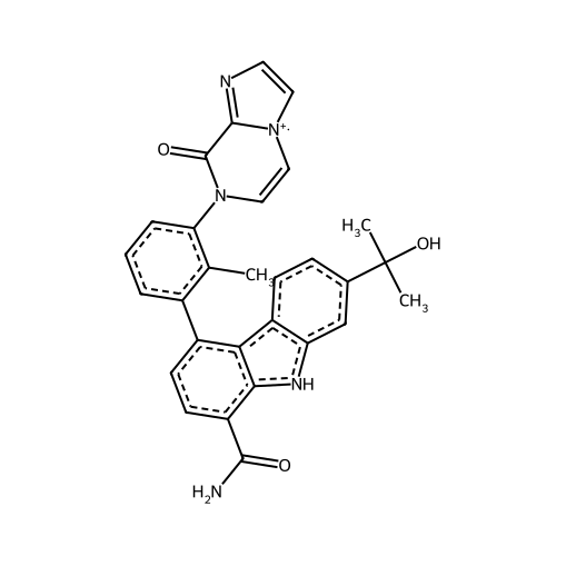 Cc1c(-c2ccc(C(N)=O)c3[nH]c4cc(C(C)(C)O)ccc4c23)cccc1N1C=C[N+]2C=CN=C2C1=O